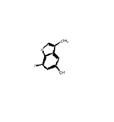 Cc1csc2c(F)cc(O)cc12